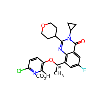 C[C@@H](Oc1ccc(Cl)nc1C(=O)O)c1cc(F)cc2c(=O)n(C3CC3)c(C3CCOCC3)nc12